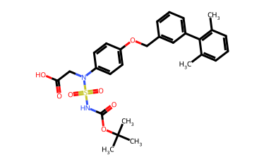 Cc1cccc(C)c1-c1cccc(COc2ccc(N(CC(=O)O)S(=O)(=O)NC(=O)OC(C)(C)C)cc2)c1